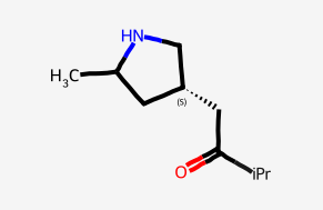 CC1C[C@@H](CC(=O)C(C)C)CN1